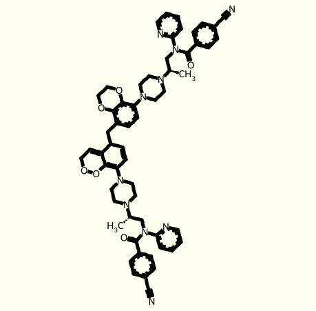 C[C@H](CN(C(=O)c1ccc(C#N)cc1)c1ccccn1)N1CCN(c2ccc(CC3C=CC(N4CCN([C@@H](C)CN(C(=O)c5ccc(C#N)cc5)c5ccccn5)CC4)=C4OOCC=C43)c3c2OCCO3)CC1